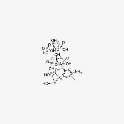 Cc1cn([C@@H]2O[C@H](CO)[C@@H](O)[C@H]2O)c(=O)nc1N.O=P(O)(O)OP(=O)(O)OP(=O)(O)O.O=P(O)(O)OP(=O)(O)OP(=O)(O)O